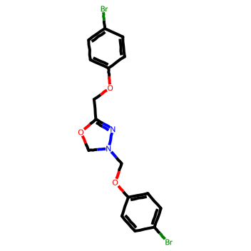 Brc1ccc(OCC2=NN(COc3ccc(Br)cc3)CO2)cc1